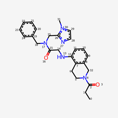 CCC(=O)N1CCc2c(cccc2NCC(=O)N(Cc2ccccc2)Cc2nccn2C)C1